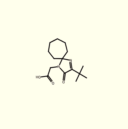 CC(C)(C)C1=NC2(CCCCCC2)N(CC(=O)O)C1=O